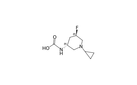 O=C(O)N[C@@H]1C[C@@H](F)CN(C2CC2)C1